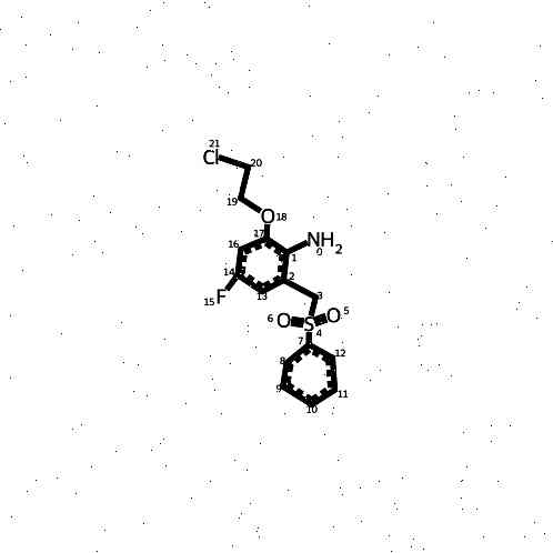 Nc1c(CS(=O)(=O)c2ccccc2)cc(F)cc1OCCCl